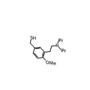 COc1ccc(CS)cc1CCN(C(C)C)C(C)C